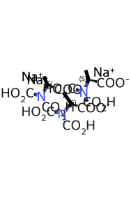 C[C@@H](C(=O)[O-])N(C(=O)O)C(=O)O.C[C@@H](C(=O)[O-])N(C(=O)O)C(=O)O.C[C@@H](C(=O)[O-])N(C(=O)O)C(=O)O.[Na+].[Na+].[Na+]